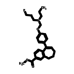 CCCN(CCCF)COc1ccc(C2=CCCCc3cc(C(=O)OC)ccc32)cc1